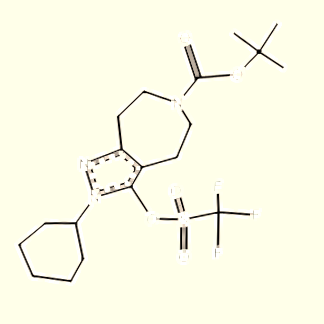 CC(C)(C)OC(=O)N1CCc2nn(C3CCCCC3)c(OS(=O)(=O)C(F)(F)F)c2CC1